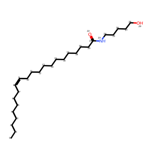 CCCCCCCC/C=C\CCCCCCCCCCCC(=O)NCCCCCO